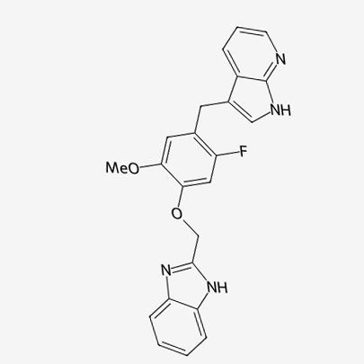 COc1cc(Cc2c[nH]c3ncccc23)c(F)cc1OCc1nc2ccccc2[nH]1